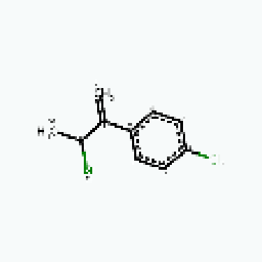 C=C(c1ccc(Cl)cc1)C(C)Br